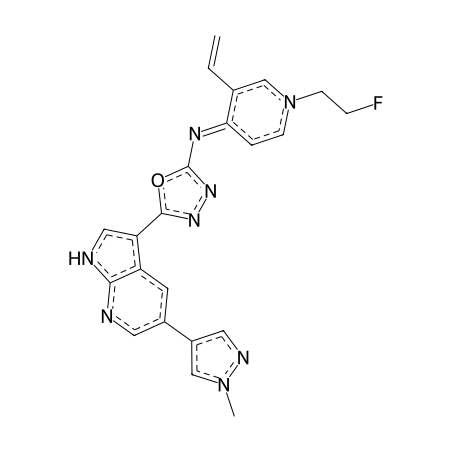 C=Cc1cn(CCF)cc/c1=N\c1nnc(-c2c[nH]c3ncc(-c4cnn(C)c4)cc23)o1